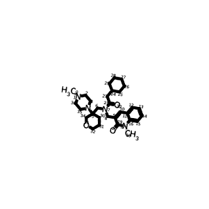 CN1CCN(C2(CN(Cc3cc4ccccc4n(C)c3=O)C(=O)CC3CCCCC3)CCCOC2)CC1